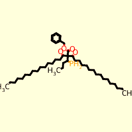 CCCCCCCCCCCCCCCC(=O)C(C(=O)CCCCCCCCCCCCCCC)(C(=O)OCc1ccccc1)C(P)CCC